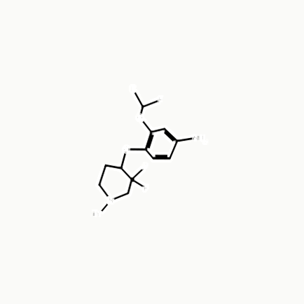 CC(C)N1CCC(Oc2ccc(N)cc2OC(F)F)C(F)(F)C1